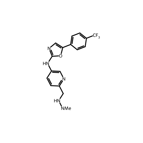 CNNCc1ccc(Nc2ncc(-c3ccc(C(F)(F)F)cc3)o2)cn1